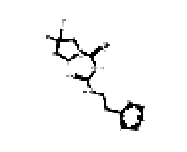 N=C(NCCc1ccccc1)NC(=N)N1CCC(F)(F)C1